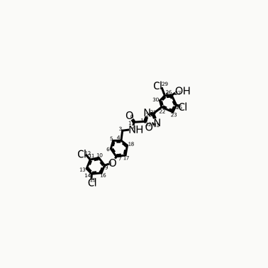 O=C(NCc1ccc(Oc2cc(Cl)cc(Cl)c2)cc1)c1nc(-c2cc(Cl)c(O)c(Cl)c2)no1